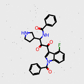 O=C(NC(C(=O)C(=O)c1cn(C(=O)c2ccccc2)c2cccc(F)c12)C1CCNC1)c1ccccc1